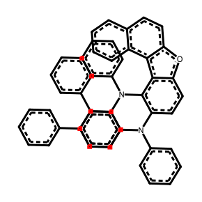 c1ccc(-c2ccc(N(c3ccccc3)c3ccc4oc5ccc6ccccc6c5c4c3N(c3ccccc3)c3ccccc3-c3ccccc3)cc2)cc1